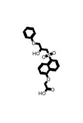 O=C(O)COc1cccc2c(S(=O)(=O)CC(O)COc3ccccc3)cccc12